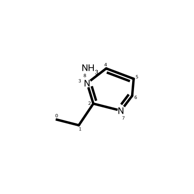 CCc1ncccn1.N